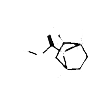 CC(C)(C)OC(=O)N1[C@H]2CC[C@@H]1[C@H](O)C2